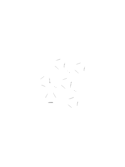 Clc1c(Nc2ccccc2)cc(-n2c3ccccc3c3ccccc32)cc1N(c1ccccc1)c1ccccc1